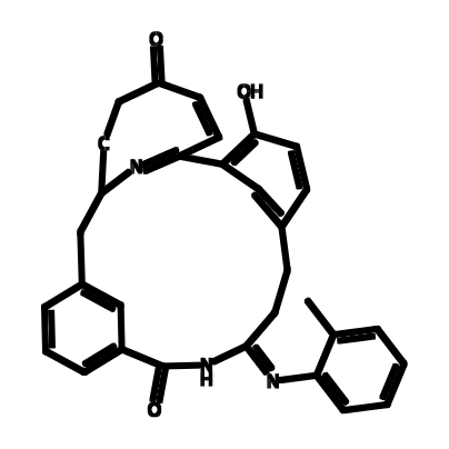 Cc1ccccc1/N=C1\CCc2ccc(O)c(c2)C2=N\C(CCC(=O)/C=C\2)Cc2cccc(c2)C(=O)N1